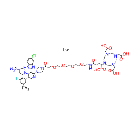 Cc1cc(F)cc(-c2cnc(N3CCN(C(=O)CCOCCOCCOCCOCCNC(=O)CCC(C(=O)O)N4CCN(CC(=O)O)CCN(CC(=O)O)CCN(CC(=O)O)CC4)CC3)c(-c3nc4cc(Cl)ccc4[nH]3)c2N2CCC(N)CC2)c1.[Lu]